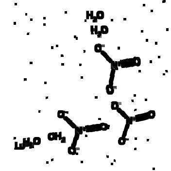 O.O.O.O.O=[N+]([O-])[O-].O=[N+]([O-])[O-].O=[N+]([O-])[O-].[Lu+3]